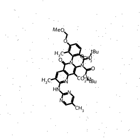 CCOC(=O)c1c(N(C(=O)OC(C)(C)C)C(=O)OC(C)(C)C)n(-c2c(C)ccc(OCOC)c2C)c(=O)c2cc(C)c(Nc3ncc(C)cn3)nc12